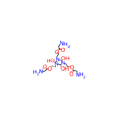 NCC(=O)OCCN1C(O)N(CCOC(=O)CN)C(O)N(CCOC(=O)CN)C1O